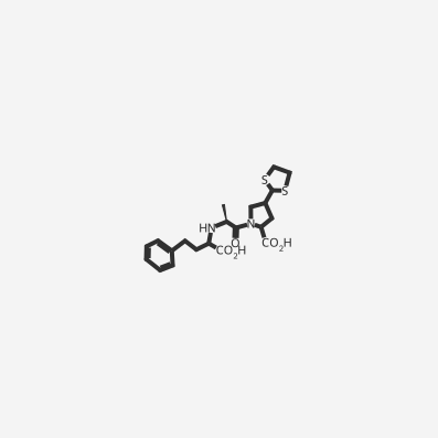 C[C@H](NC(CCc1ccccc1)C(=O)O)C(=O)N1CC(C2SCCS2)CC1C(=O)O